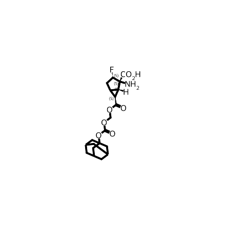 N[C@@]1(C(=O)O)[C@@H](F)CC2[C@H](C(=O)OCOC(=O)OC34CC5CC(CC(C5)C3)C4)[C@H]21